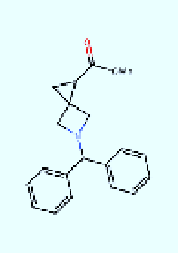 COC(=O)C1CC12CN(C(c1ccccc1)c1ccccc1)C2